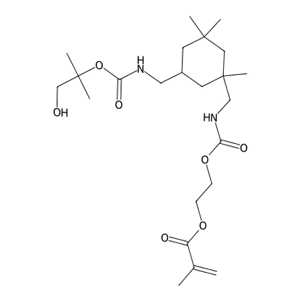 C=C(C)C(=O)OCCOC(=O)NCC1(C)CC(CNC(=O)OC(C)(C)CO)CC(C)(C)C1